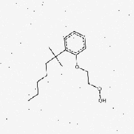 CCCCCC(C)(C)c1ccccc1OCCOO